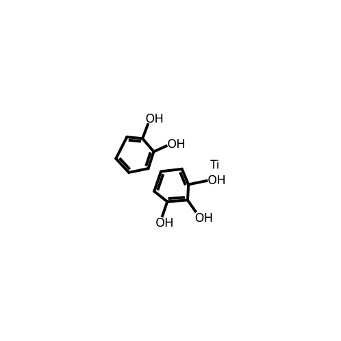 Oc1cccc(O)c1O.Oc1ccccc1O.[Ti]